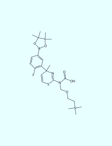 CC1(c2cc(B3OC(C)(C)C(C)(C)O3)ccc2F)C=CSC(N(COCC[Si](C)(C)C)C(=O)O)=N1